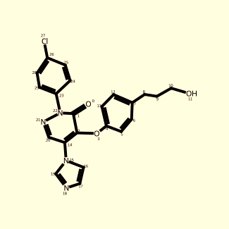 O=c1c(Oc2ccc(CCCO)cc2)c(-n2ccnc2)cnn1-c1ccc(Cl)cc1